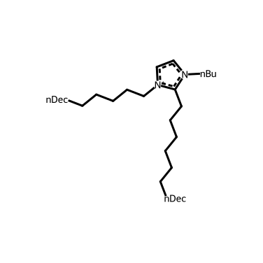 CCCCCCCCCCCCCCCCc1n(CCCC)cc[n+]1CCCCCCCCCCCCCCC